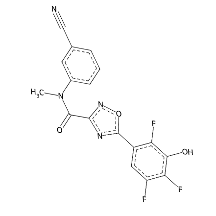 CN(C(=O)c1noc(-c2cc(F)c(F)c(O)c2F)n1)c1cccc(C#N)c1